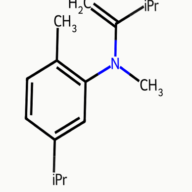 C=C(C(C)C)N(C)c1cc(C(C)C)ccc1C